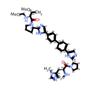 COCN[C@H](C(=O)N1CCCC1c1ncc(-c2ccc(-c3ccc(-c4cnc([C@@H]5CCCN5C(=O)[C@H](Cc5cncn5C)NC(=O)O)[nH]4)cc3)cc2)[nH]1)[C@@H](C)OC